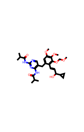 COCOc1c(C=CC(O)C2CC2)c(Cc2cnc(NC(=O)C(C)C)nc2NC(=O)C(C)C)cc(OC)c1OC